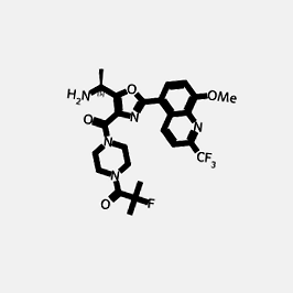 COc1ccc(-c2nc(C(=O)N3CCN(C(=O)C(C)(C)F)CC3)c([C@H](C)N)o2)c2ccc(C(F)(F)F)nc12